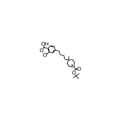 CC1(CCCCc2ccc(C(=O)O)c(Cl)c2)CCN(C(=O)OC(C)(C)C)CC1